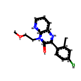 COCCn1c(=O)c(-c2ccc(Cl)cc2C)nc2cccnc21